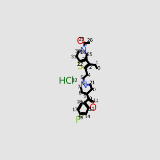 CCc1c(CCN2CCC(c3coc4cc(F)ccc34)CC2)sc2c1CN(C(C)=O)CC2.Cl